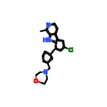 Cc1nccc2c1[nH]c1c(-c3cccc(CN4CCOCC4)c3)cc(Cl)cc12